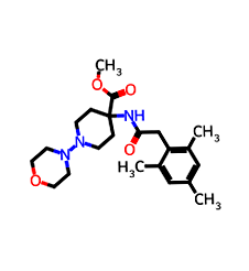 COC(=O)C1(NC(=O)Cc2c(C)cc(C)cc2C)CCN(N2CCOCC2)CC1